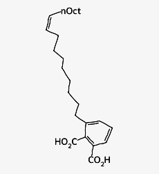 CCCCCCCC/C=C\CCCCCCCCc1cccc(C(=O)O)c1C(=O)O